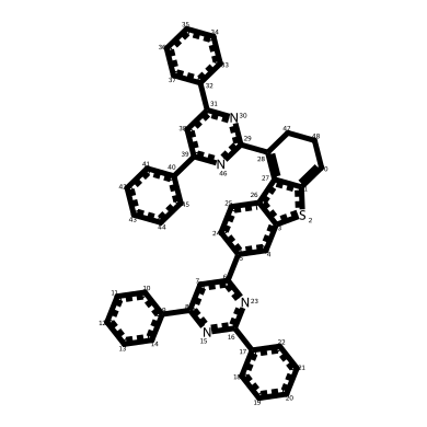 C1=c2sc3cc(-c4cc(-c5ccccc5)nc(-c5ccccc5)n4)ccc3c2=C(c2nc(-c3ccccc3)cc(-c3ccccc3)n2)CC1